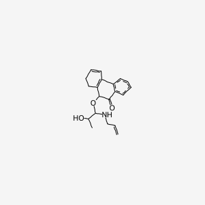 C=CCNC(OC1C(=O)c2ccccc2C2=C1CCC=C2)C(C)O